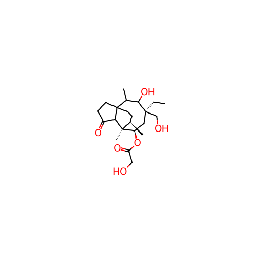 CC[C@]1(CO)C[C@@H](OC(=O)CO)[C@@]2(C)C3C(=O)CCC3(CC[C@H]2C)C(C)C1O